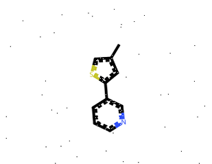 Cc1csc(-c2cccnc2)c1